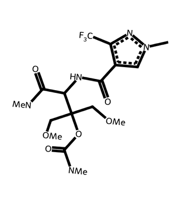 CNC(=O)OC(COC)(COC)C(NC(=O)c1cn(C)nc1C(F)(F)F)C(=O)NC